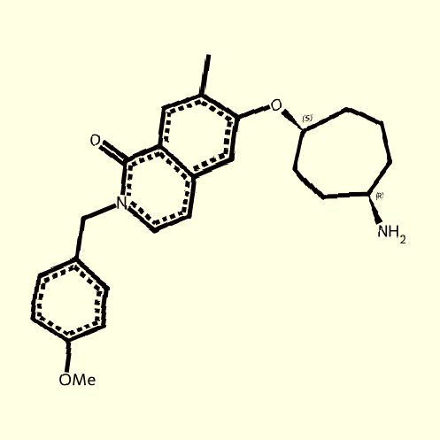 COc1ccc(Cn2ccc3cc(O[C@H]4CCC[C@@H](N)CC4)c(C)cc3c2=O)cc1